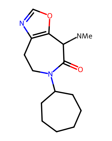 CNC1C(=O)N(C2CCCCCC2)CCc2ncoc21